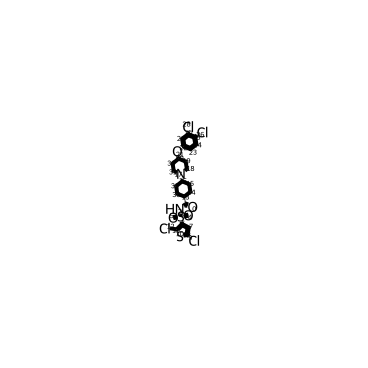 O=C(NS(=O)(=O)c1cc(Cl)sc1Cl)[C@H]1CC[C@H](N2CCC(Oc3ccc(Cl)c(Cl)c3)CC2)CC1